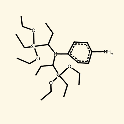 CCO[Si](CC)(OCC)C(CC)N(c1ccc(N)cc1)C(CC)[Si](CC)(OCC)OCC